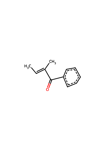 C/C=C(\C)C(=O)c1ccccc1